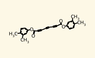 Cc1ccc(OC(=O)C#CC#CC#CC(=O)Oc2ccc(C)c(C)c2)cc1C